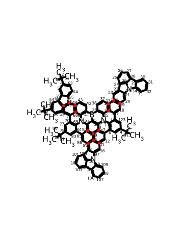 CC(C)(C)c1cc(-c2ccccc2)c(N2c3cc(-c4ccc5c(c4)c4cccc6c7ccccc7n5c64)ccc3B3c4ccc(-n5c6ccc(C(C)(C)C)cc6c6cc(C(C)(C)C)ccc65)cc4N(c4c(-c5ccccc5)cc(C(C)(C)C)cc4-c4ccccc4)c4cc(-c5ccc6c(c5)c5cccc7c8ccccc8n6c75)cc2c43)c(-c2ccccc2)c1